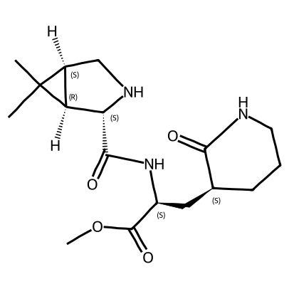 COC(=O)[C@H](C[C@@H]1CCCNC1=O)NC(=O)[C@H]1NC[C@H]2[C@@H]1C2(C)C